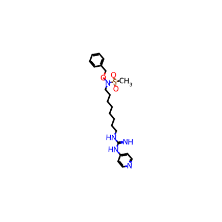 CS(=O)(=O)N(CCCCCCCCNC(=N)Nc1ccncc1)OCc1ccccc1